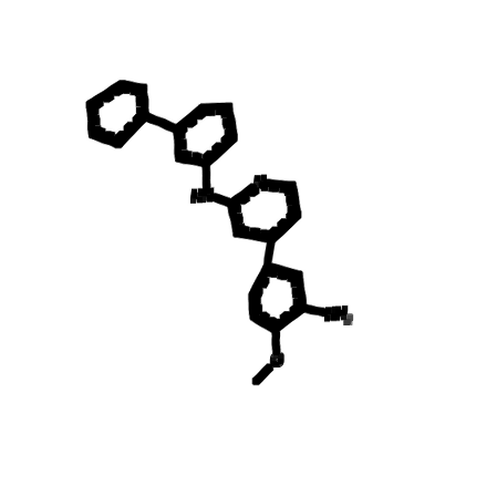 COc1ccc(-c2ccnc(Nc3cccc(-c4ccccc4)c3)c2)cc1N